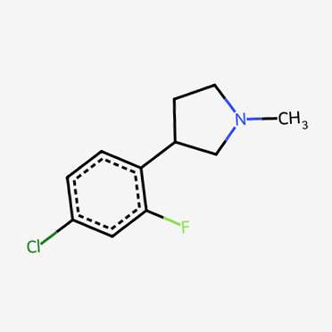 CN1CCC(c2ccc(Cl)cc2F)C1